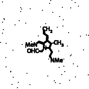 C=C/C=C1\C(=C\NC)N(CC=O)C(CCNC)[C@H]1C